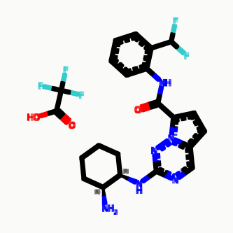 N[C@H]1CCCC[C@H]1Nc1ncc2ccc(C(=O)Nc3ccccc3C(F)F)n2n1.O=C(O)C(F)(F)F